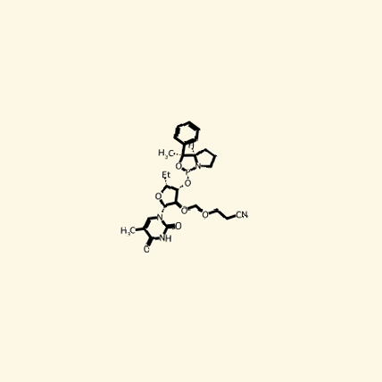 CC[C@H]1O[C@@H](n2cc(C)c(=O)[nH]c2=O)C(OCOCCC#N)[C@H]1O[P@]1O[C@@](C)(c2ccccc2)[C@H]2CCCN21